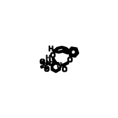 CS(=O)(=O)N[C@H]1CCCN2C(=O)COc3ccccc3C34CC[C@H](CC3C4)OC[C@@H]12